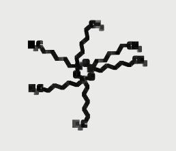 CCCCCC[Si]1(CCCCCC)O[Si](CCCCCC)(CCCCCC)O[Si](CCCCCC)(CCCCCC)O1